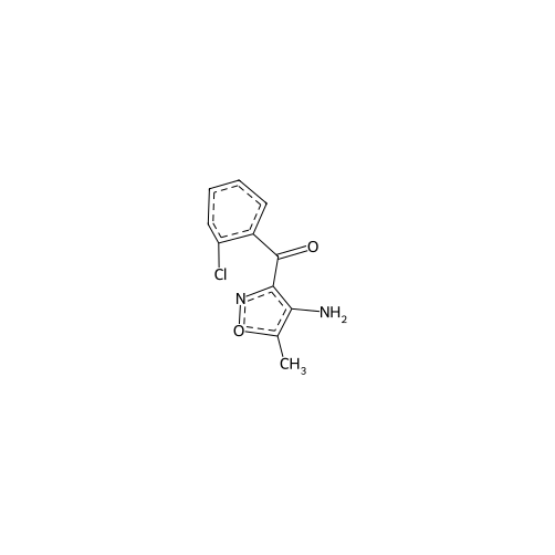 Cc1onc(C(=O)c2ccccc2Cl)c1N